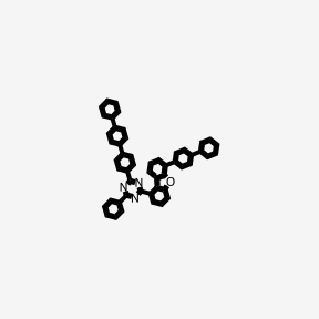 c1ccc(-c2ccc(-c3ccc(-c4nc(-c5ccccc5)nc(-c5cccc6oc7c(-c8ccc(-c9ccccc9)cc8)cccc7c56)n4)cc3)cc2)cc1